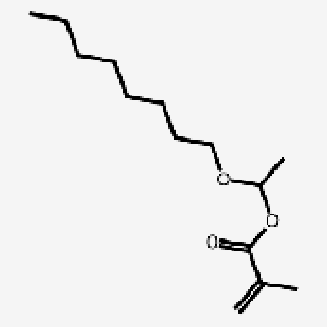 C=C(C)C(=O)OC(C)OCCCCCCCC